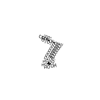 O=[N+]([O-])[O-].O=[N+]([O-])[O-].O=[N+]([O-])[O-].O=[N+]([O-])[O-].O=[N+]([O-])[O-].O=[N+]([O-])[O-].O=[N+]([O-])[O-].O=[N+]([O-])[O-].O=[N+]([O-])[O-].[Ce+3].[Ce+3].[Ce+3].[O-][I+](O)(O)(O)(O)O